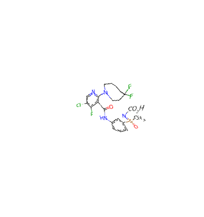 CS(=O)(=NC(=O)O)c1cccc(NC(=O)c2c(N3CCCC(F)(F)CC3)ncc(Cl)c2F)c1